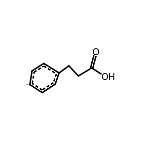 O=C(O)CCc1cc[c]cc1